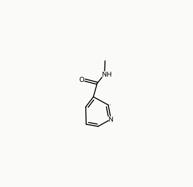 CNC(=O)c1[c]nccc1